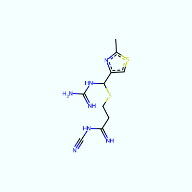 Cc1nc(C(NC(=N)N)SCCC(=N)NC#N)cs1